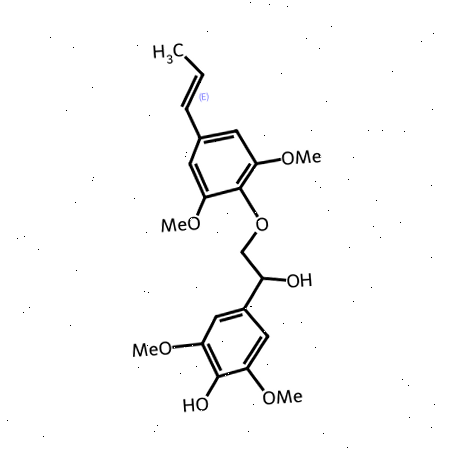 C/C=C/c1cc(OC)c(OCC(O)c2cc(OC)c(O)c(OC)c2)c(OC)c1